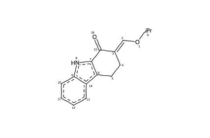 CC(C)O/C=C1\CCc2c([nH]c3ccccc23)C1=O